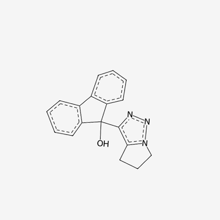 OC1(c2nnn3c2CCC3)c2ccccc2-c2ccccc21